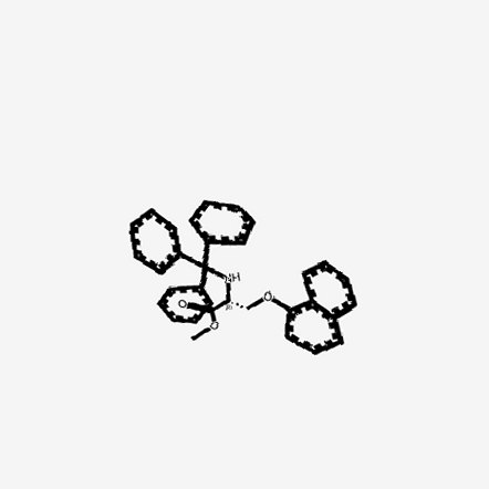 COC(=O)[C@@H](COc1cccc2ccccc12)NC(c1ccccc1)(c1ccccc1)c1ccccc1